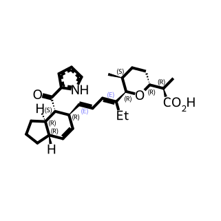 CC/C(=C\C=C\[C@H]1C=C[C@@H]2CCC[C@H]2[C@@H]1C(=O)c1ccc[nH]1)[C@@H]1O[C@@H]([C@@H](C)C(=O)O)CC[C@@H]1C